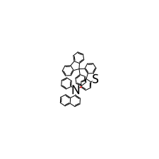 c1ccc(N(c2ccc3sc4cccc(C5(c6ccccc6)c6ccccc6-c6ccccc65)c4c3c2)c2cccc3ccccc23)cc1